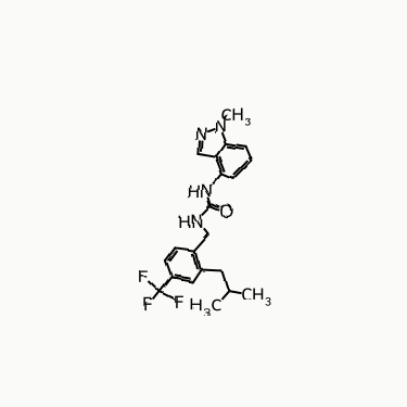 CC(C)Cc1cc(C(F)(F)F)ccc1CNC(=O)Nc1cccc2c1cnn2C